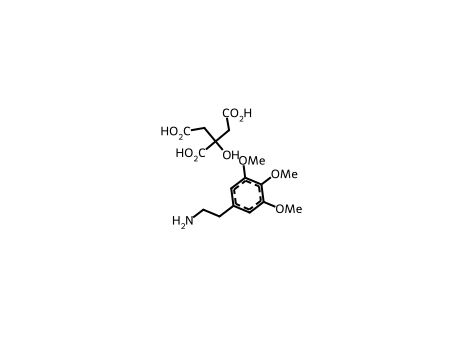 COc1cc(CCN)cc(OC)c1OC.O=C(O)CC(O)(CC(=O)O)C(=O)O